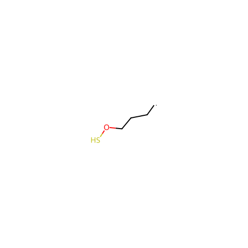 [CH2]CCCOS